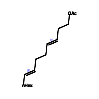 CCCCCC/C=C/CC/C=C/CCOC(C)=O